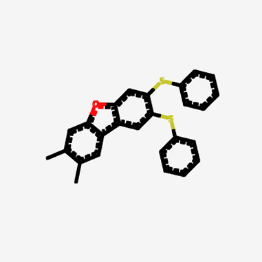 Cc1cc2oc3cc(Sc4ccccc4)c(Sc4ccccc4)cc3c2cc1C